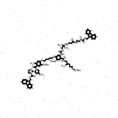 C=C(CC/C=N/OC)CNC(=O)c1cc(OC)c(OCCCCCOc2cc(N)c(C(=O)N3CC(=C)C[C@H]3C3OCCN3C(=O)OCC3c4ccccc4-c4ccccc43)cc2OC)cc1NC(=O)OCC(C)(C)SSCCC(=O)NCCNC(=O)OCC1c2ccccc2-c2ccccc21